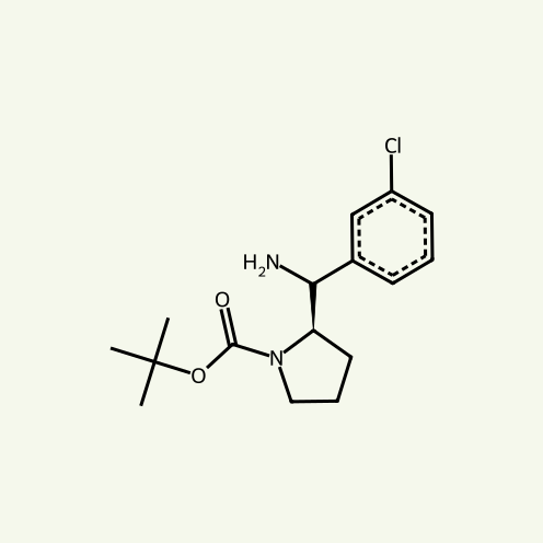 CC(C)(C)OC(=O)N1CCC[C@@H]1C(N)c1cccc(Cl)c1